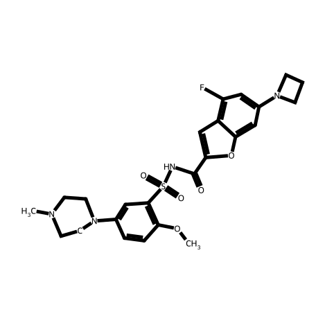 COc1ccc(N2CCN(C)CC2)cc1S(=O)(=O)NC(=O)c1cc2c(F)cc(N3CCC3)cc2o1